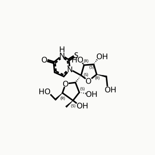 C[C@@]1(O)[C@@H](CO)OC([C@@]2(n3ccc(=O)[nH]c3=S)O[C@H](CO)[C@@H](O)[C@H]2O)[C@@H]1O